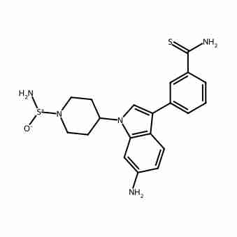 NC(=S)c1cccc(-c2cn(C3CCN([S+](N)[O-])CC3)c3cc(N)ccc23)c1